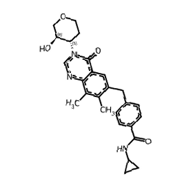 Cc1c(Cc2ccc(C(=O)NC3CC3)cc2)cc2c(=O)n([C@H]3CCOC[C@@H]3O)cnc2c1C